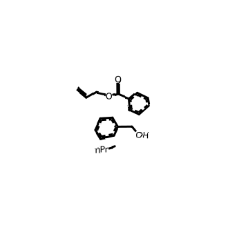 C=CCOC(=O)c1ccccc1.CCCC.OCc1ccccc1